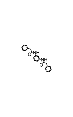 O=C(Cc1ccccc1)Nc1cccc(NC(=O)Cc2ccccc2)c1